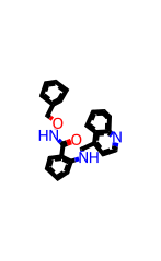 O=C(NOCc1ccccc1)c1ccccc1NCc1ccnc2ccccc12